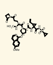 C=CC1CC1(NC(=O)[C@@H]1C[C@@H](Oc2nccc3cc(OC)ccc23)CN1C(=O)[C@H](CCC(=O)N1CCC1=O)NC(=O)O)C(=O)NS(=O)(=O)C1CC1